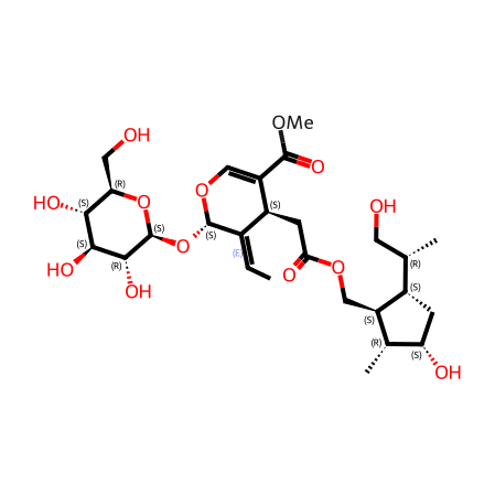 C/C=C1/[C@H](O[C@@H]2O[C@H](CO)[C@@H](O)[C@H](O)[C@H]2O)OC=C(C(=O)OC)[C@H]1CC(=O)OC[C@@H]1[C@@H](C)[C@@H](O)C[C@H]1[C@@H](C)CO